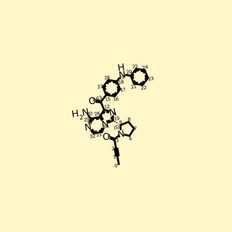 CC#CC(=O)N1CCC[C@H]1c1nc(C(=O)c2ccc(Nc3ccccc3)cc2)c2c(N)nccn12